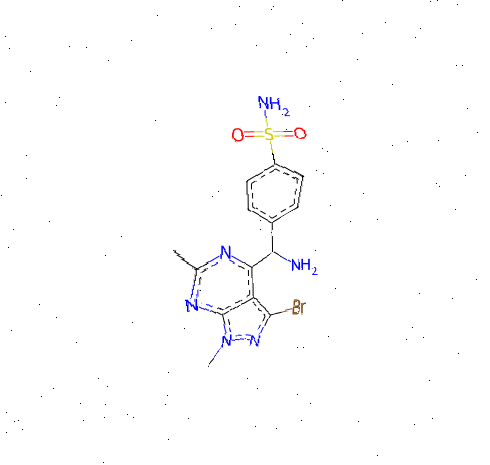 Cc1nc(C(N)c2ccc(S(N)(=O)=O)cc2)c2c(Br)nn(C)c2n1